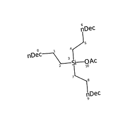 CCCCCCCCCCCC[Si](CCCCCCCCCCCC)(CCCCCCCCCCCC)OC(C)=O